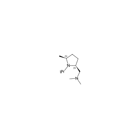 CC(C)N1[C@H](CN(C)C)CC[C@@H]1C